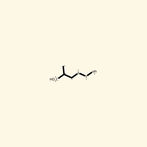 CCCSSCC(C)C(=O)O